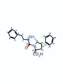 NC(CCc1ccccc1)C(=O)N1C[C@H](c2ccccc2)C[C@H]1C(=O)O